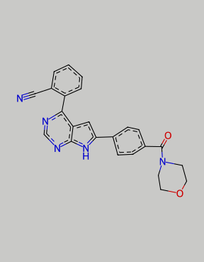 N#Cc1ccccc1-c1ncnc2[nH]c(-c3ccc(C(=O)N4CCOCC4)cc3)cc12